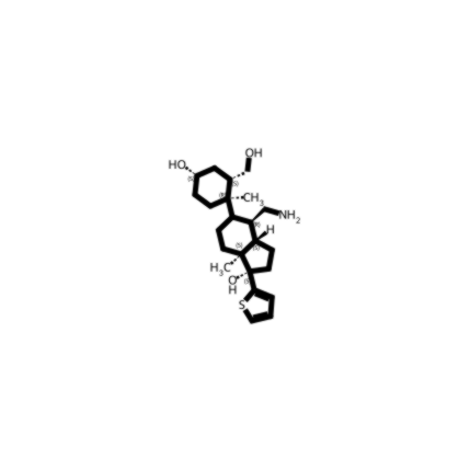 C[C@]12CCC([C@@]3(C)CC[C@H](O)C[C@@H]3CO)[C@@H](CN)[C@@H]1CC[C@@]2(O)c1cccs1